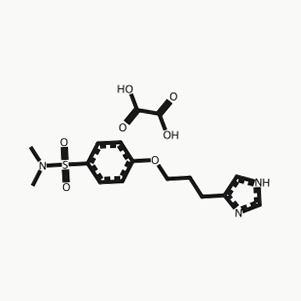 CN(C)S(=O)(=O)c1ccc(OCCCc2c[nH]cn2)cc1.O=C(O)C(=O)O